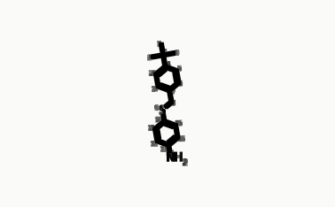 CC(C)(C)c1ccc(CSc2ccc(N)cc2)cc1